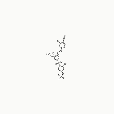 N#Cc1ccc(OC[C@H]2CN(S(=O)(=O)c3ccc(OC(F)(F)F)cc3Br)C[C@@]2(O)CO)cc1F